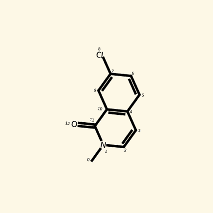 Cn1ccc2ccc(Cl)cc2c1=O